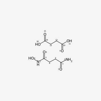 NC(=O)CCC(=O)NO.O=C(O)CCC(=O)O